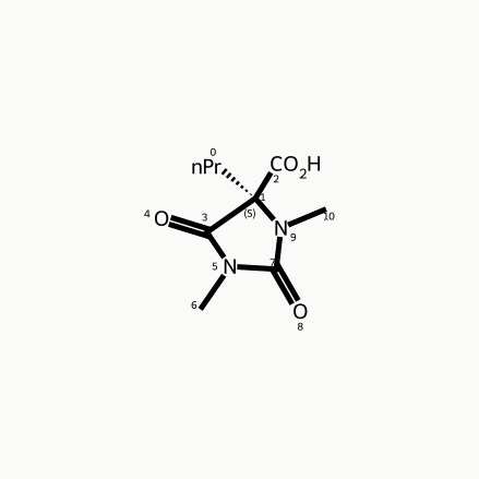 CCC[C@@]1(C(=O)O)C(=O)N(C)C(=O)N1C